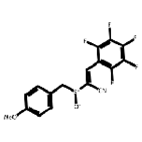 COc1ccc(C[S+]([O-])C(C#N)=Cc2c(F)c(F)c(F)c(F)c2F)cc1